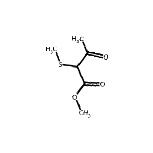 COC(=O)C(SC)C(C)=O